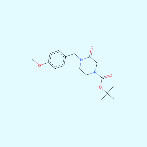 COc1ccc(CN2CCN(C(=O)OC(C)(C)C)CC2=O)cc1